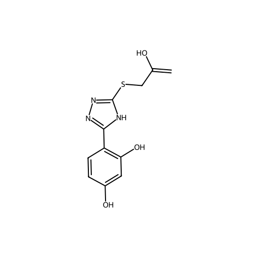 C=C(O)CSc1nnc(-c2ccc(O)cc2O)[nH]1